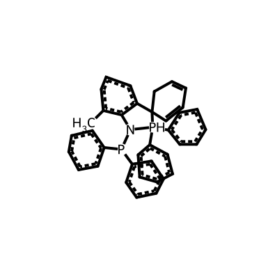 Cc1cccc2c1N(P(c1ccccc1)c1ccccc1)[PH](c1ccccc1)(c1ccccc1)C21C=CC=CC1